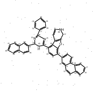 C1=Cc2c(oc3c(-c4ccc5c(ccc6ccccc65)c4)ccc(C4=NC(c5ccccc5)=NC(c5ccc6ccccc6c5)N4)c23)CN1